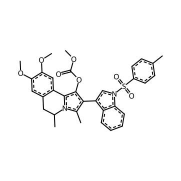 COC(=O)Oc1c(-c2cn(S(=O)(=O)c3ccc(C)cc3)c3ccccc23)c(C)n2c1-c1cc(OC)c(OC)cc1CC2C